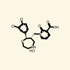 Cl.O=C(O)c1cccn(C[C@@H]2CNCCO[C@H]2c2ccc(Cl)c(Cl)c2)c1=O